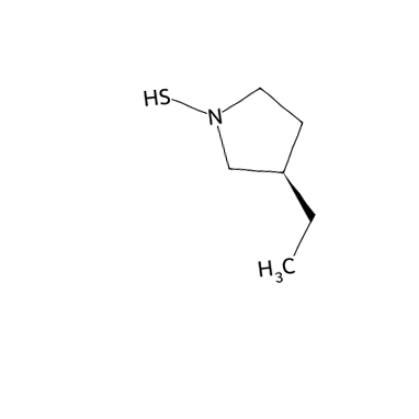 CC[C@@H]1CCN(S)C1